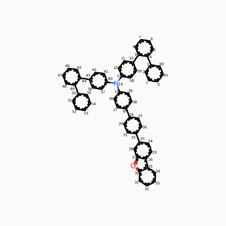 c1ccc(-c2ccccc2-c2ccc(N(c3ccc(-c4ccc(-c5ccc6c(c5)oc5ccccc56)cc4)cc3)c3ccc(-c4ccccc4-c4ccccc4)cc3)cc2)cc1